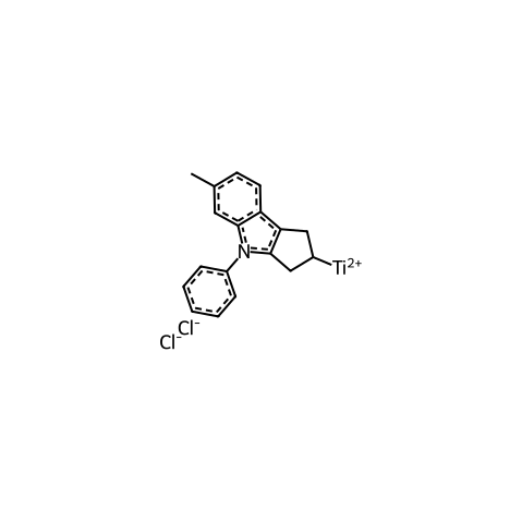 Cc1ccc2c3c(n(-c4ccccc4)c2c1)C[CH]([Ti+2])C3.[Cl-].[Cl-]